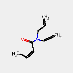 C=CCN(C=C)C(=O)/C=C\C